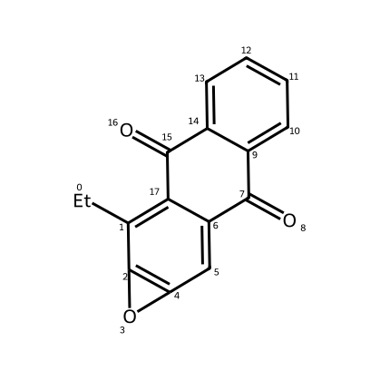 CCc1c2oc2cc2c(=O)c3ccccc3c(=O)c12